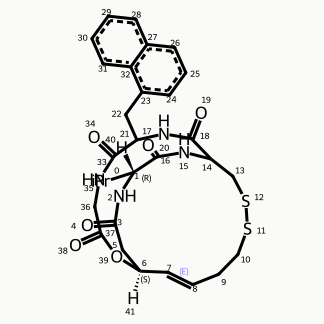 CC(C)[C@H]1NC(=O)C[C@H]2/C=C/CCSSCC(NC1=O)C(=O)NC(Cc1cccc3ccccc13)C(=O)NCC(=O)O2